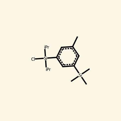 Cc1cc([Si](C)(C)C)cc([Si](Cl)(C(C)C)C(C)C)c1